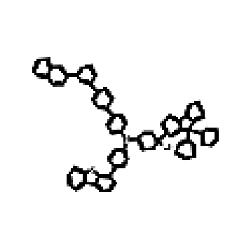 CC1(c2ccc3c(c2)C(c2ccccc2)(c2ccccc2)c2ccccc2-3)C=CC(N(c2ccc(-c3ccc(-c4cccc(-c5ccc6ccccc6c5)c4)cc3)cc2)c2ccc(-c3cccc4c3sc3ccccc34)cc2)=CC1